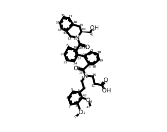 COc1cccc(CCN(CCC(=O)O)C(=O)c2ccccc2-c2ccccc2C(=O)N2Cc3ccccc3C[C@H]2CO)c1OC